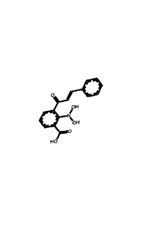 O=C(O)c1cccc(C(=O)C=Cc2ccccc2)c1N(O)O